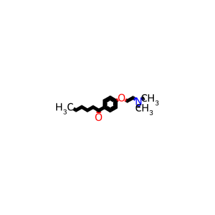 CCCCCC(=O)c1ccc(OCCN(C)C)cc1